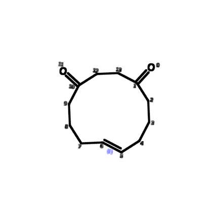 O=C1CCC/C=C/CCCC(=O)CC1